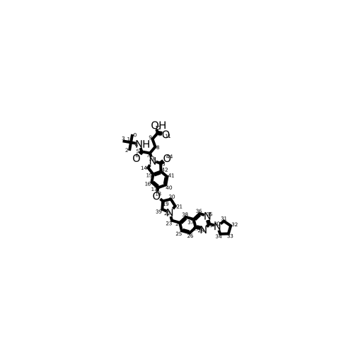 CC(C)(C)NC(=O)C(CCC(=O)O)N1Cc2cc(OC3CCN(Cc4ccc5nc(N6CCCC6)ncc5c4)C3)ccc2C1=O